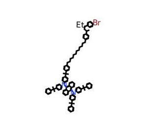 CCC(CC(C)c1ccc(CCCCCCCCCCCCc2ccc(C(C)(C)c3ccc(N(c4ccc(C(C)(C)c5ccccc5)cc4)c4c5ccccc5c(N(c5ccc(C(C)(C)c6ccccc6)cc5)c5ccc(C(C)(C)c6ccccc6)cc5)c5ccccc45)cc3)cc2)cc1)c1ccc(Br)cc1